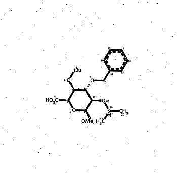 COC1O[C@@H](C(=O)O)[C@@H](OC(C)(C)C)[C@H](OCc2ccccc2)[C@H]1O[SiH](C)C